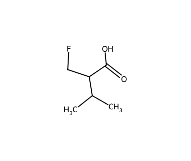 CC(C)C(CF)C(=O)O